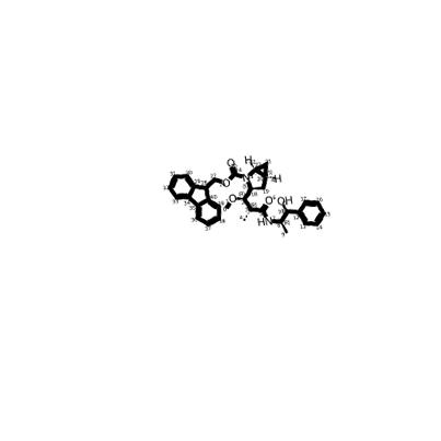 CO[C@H]([C@@H](C)C(=O)N[C@H](C)[C@@H](O)c1ccccc1)[C@@H]1C[C@@H]2C[C@@H]2N1C(=O)OCC1c2ccccc2-c2ccccc21